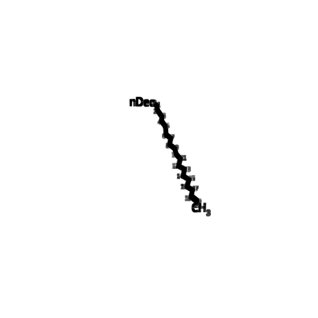 [CH2]CCCCCCCCCCCCCCCCCCCCCCCCCCC=CC